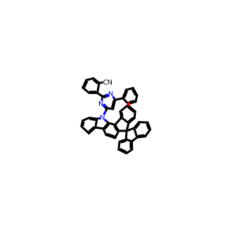 N#Cc1ccccc1-c1nc(-c2ccccc2)cc(-n2c3ccccc3c3ccc4c(c32)-c2ccccc2C42c3ccccc3-c3ccccc32)n1